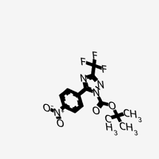 CC(C)(C)OC(=O)n1nc(C(F)(F)F)nc1-c1ccc([N+](=O)[O-])cc1